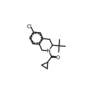 CC(C)(C)C1Cc2cc(Cl)ccc2CN1C(=O)C1CC1